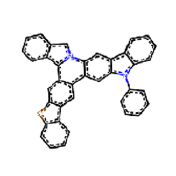 c1ccc(-n2c3ccccc3c3cc4c(cc32)c2cc3c(cc2c2c5ccccc5cn42)sc2ccccc23)cc1